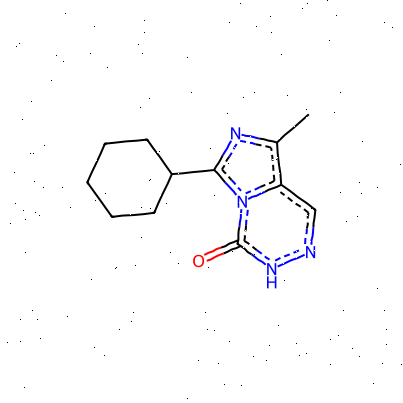 Cc1nc(C2CCCCC2)n2c(=O)[nH]ncc12